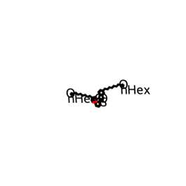 CCCCCCC1OC1CCCCCCCc1cccc(OP(=S)(Oc2cccc(CCCCCCCC3OC3CCCCCC)c2)c2ccccc2)c1